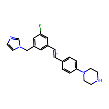 Fc1cc(/C=C/c2ccc(N3CCNCC3)cc2)cc(Cn2ccnc2)c1